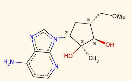 COC[C@H]1C[C@@H](n2cnc3c(N)ccnc32)[C@](C)(O)[C@@H]1O